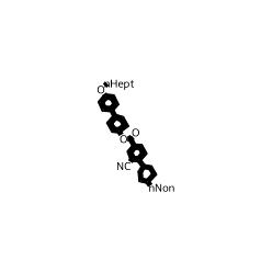 CCCCCCCCCC1CCC(c2ccc(C(=O)Oc3ccc(-c4ccc(OCCCCCCC)cc4)cc3)cc2C#N)CC1